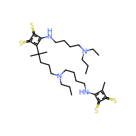 CCCN(CC)CCCCNc1c(C(C)(C)CCCN(CCC)CCCCNc2c(C)c(=S)c2=S)c(=S)c1=S